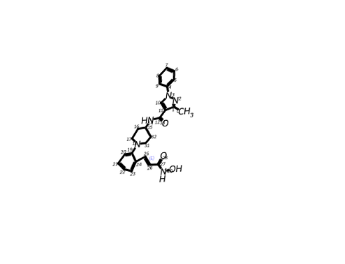 Cc1nn(-c2ccccc2)cc1C(=O)NC1CCN(c2ccccc2/C=C/C(=O)NO)CC1